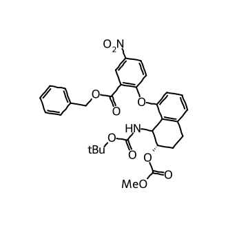 COC(=O)O[C@H]1CCc2cccc(Oc3ccc([N+](=O)[O-])cc3C(=O)OCc3ccccc3)c2C1NC(=O)OC(C)(C)C